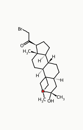 COCC12CC[C@@](C)(O)C[C@@H]1CC[C@@H]1[C@@H]2CC[C@]2(C)[C@@H](C(=O)CBr)CC[C@@H]12